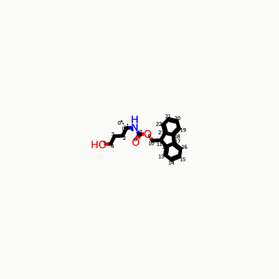 C[C@@H](CCCO)NC(=O)OCC1c2ccccc2-c2ccccc21